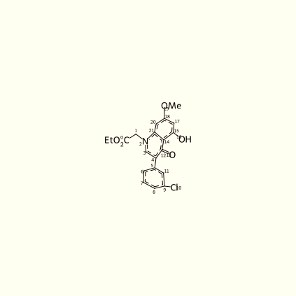 CCOC(=O)Cn1cc(-c2cccc(Cl)c2)c(=O)c2c(O)cc(OC)cc21